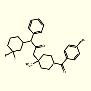 CC(C)c1ccc(C(=O)N2CCC(CC(=O)N(c3ccccc3)C3CCCC(F)(F)C3)(C(=O)O)CC2)cc1